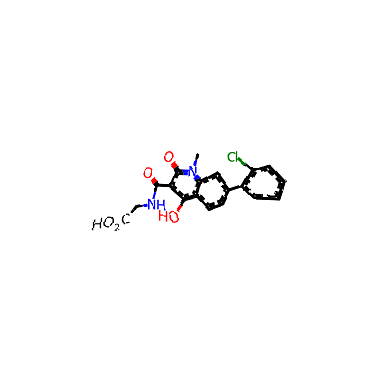 Cn1c(=O)c(C(=O)NCC(=O)O)c(O)c2ccc(-c3ccccc3Cl)cc21